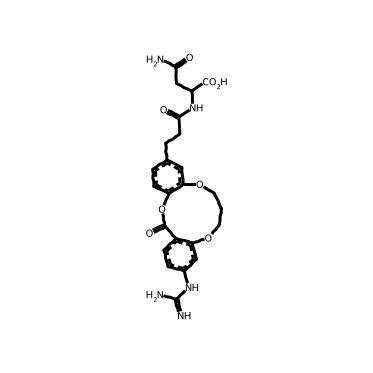 N=C(N)Nc1ccc2c(c1)OCCCOc1cc(CCC(=O)NC(CC(N)=O)C(=O)O)ccc1OC2=O